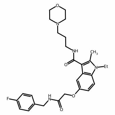 CCn1c(C)c(C(=O)NCCCN2CCOCC2)c2cc(OCC(=O)NCc3ccc(F)cc3)ccc21